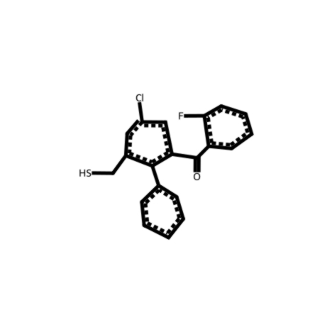 O=C(c1ccccc1F)c1cc(Cl)cc(CS)c1-c1ccccc1